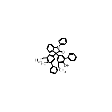 CCc1cc(C2(c3cc(CC)c(O)c(-c4ccccc4)c3)C(=O)N(c3ccccc3)c3ccccc32)cc(-c2ccccc2)c1O